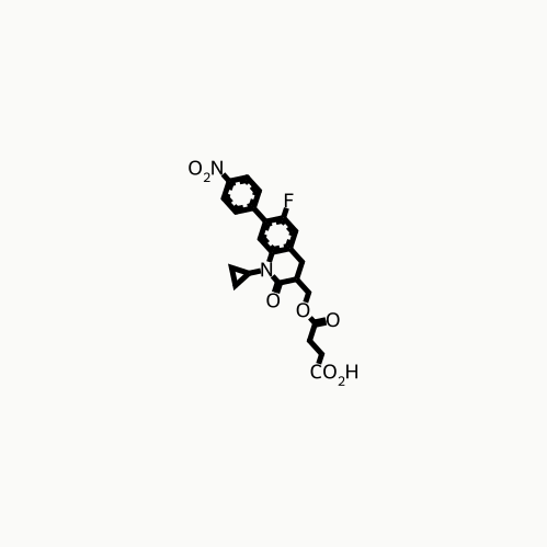 O=C(O)CCC(=O)OCC1Cc2cc(F)c(-c3ccc([N+](=O)[O-])cc3)cc2N(C2CC2)C1=O